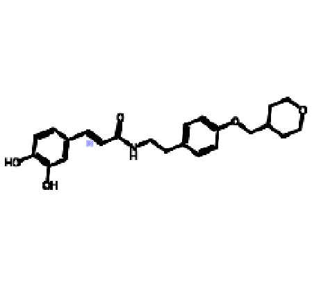 O=C(/C=C/c1ccc(O)c(O)c1)NCCc1ccc(OCC2CCOCC2)cc1